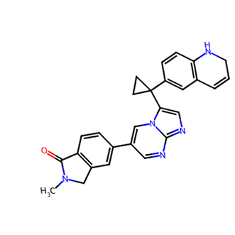 CN1Cc2cc(-c3cnc4ncc(C5(c6ccc7c(c6)C=CCN7)CC5)n4c3)ccc2C1=O